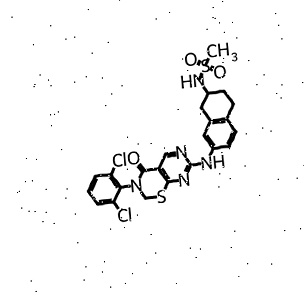 CS(=O)(=O)NC1CCc2ccc(Nc3ncc4c(n3)SCN(c3c(Cl)cccc3Cl)C4=O)cc2C1